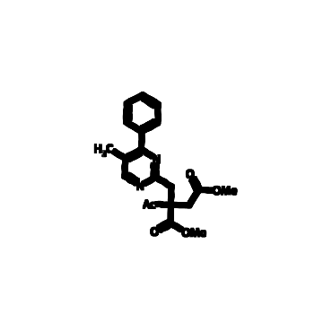 COC(=O)CC(Cc1ncc(C)c(-c2ccccc2)n1)(C(C)=O)C(=O)OC